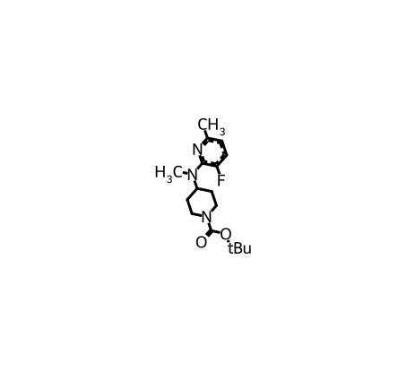 Cc1ccc(F)c(N(C)C2CCN(C(=O)OC(C)(C)C)CC2)n1